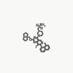 Cc1cccc2cccc(-c3ncc4c(N5CCCC(CS(N)(=O)=O)C5)nc(OCC56CCCN5CCC6)nc4c3F)c12